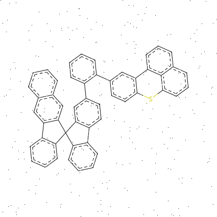 c1ccc(-c2ccc3c(c2)C2(c4ccccc4-3)c3ccccc3-c3cc4ccccc4cc32)c(-c2ccc3c(c2)-c2cccc4cccc(c24)S3)c1